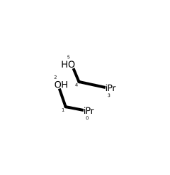 CC(C)CO.CC(C)CO